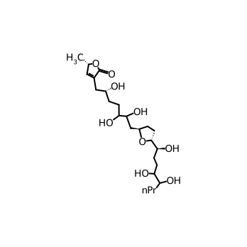 CCCC(O)C(O)CC[C@H](O)[C@H]1CC[C@H](CC(O)C(O)CC[C@@H](O)CC2=C[C@H](C)OC2=O)O1